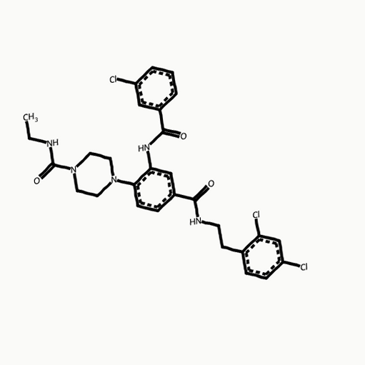 CCNC(=O)N1CCN(c2ccc(C(=O)NCCc3ccc(Cl)cc3Cl)cc2NC(=O)c2cccc(Cl)c2)CC1